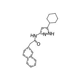 O=C(Cc1ccc2ccccc2c1)Nc1cc(C2CCCCC2)[nH]n1